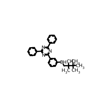 CC(C)(C)C(C)(C)CBc1cccc(-c2nc(-c3ccccc3)nc(-c3ccccc3)n2)c1